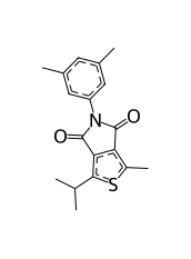 Cc1cc(C)cc(N2C(=O)c3c(C)sc(C(C)C)c3C2=O)c1